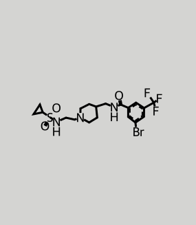 O=C(NCC1CCN(CCNS(=O)(=O)C2CC2)CC1)c1cc(Br)cc(C(F)(F)F)c1